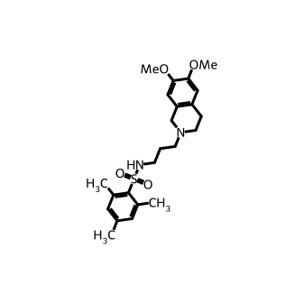 COc1cc2c(cc1OC)CN(CCCNS(=O)(=O)c1c(C)cc(C)cc1C)CC2